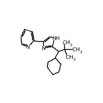 CC(C)(C)C(c1nc(-c2ccccn2)c[nH]1)C1CCCCC1